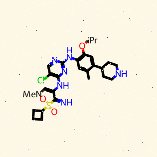 CN/C=C(/Nc1nc(Nc2cc(C)c(C3CCNCC3)cc2OC(C)C)ncc1Cl)C(=N)S(=O)(=O)C1CCC1